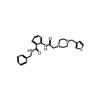 O=C(CN1CCN(Cc2ccsc2)CC1)Nc1ccccc1C(=O)NCc1ccccc1